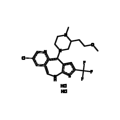 COCCC1CN(C2=c3ncc(Cl)cc3=CNc3sc(C(F)(F)F)cc32)CCN1C.Cl.Cl